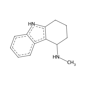 CNC1CCCc2[nH]c3ccccc3c21